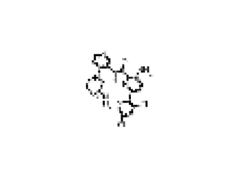 Nc1ccc(-c2ncc(Cl)cc2Cl)nc1C(=O)Nc1cnccc1N1CCC[C@H](N)C1